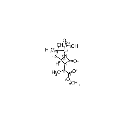 COC(=O)C(C)[C@@H]1C(=O)N2[C@@H]1SC(C)(C)[C@@H]2C(=O)O